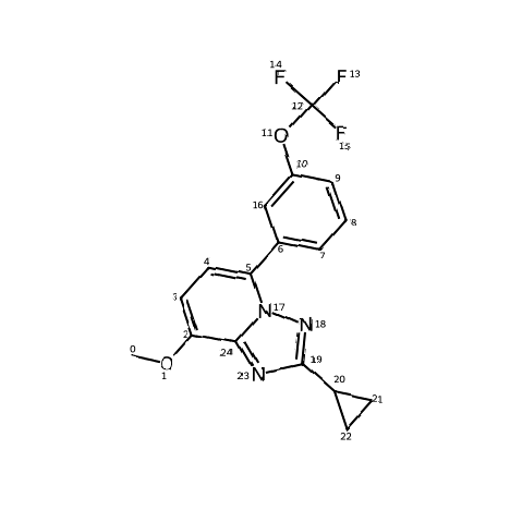 COc1ccc(-c2cccc(OC(F)(F)F)c2)n2nc(C3CC3)nc12